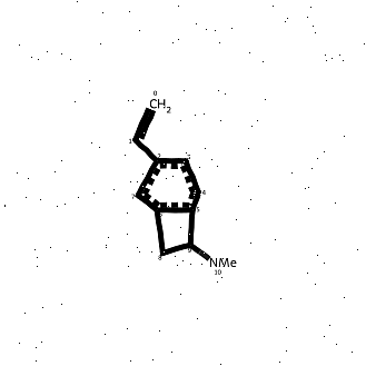 C=Cc1ccc2c(c1)CC2NC